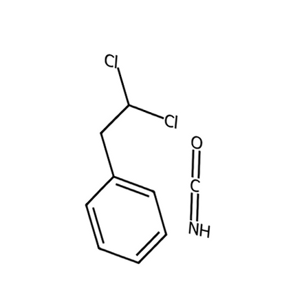 ClC(Cl)Cc1ccccc1.N=C=O